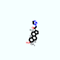 C[C@@]1(O)CC[C@@H]2C3CC[C@@]4(C)C(CC[C@@H]4C(=O)Cn4ccnn4)C3CC[C@H]2C1